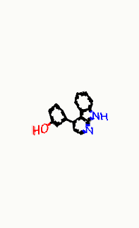 Oc1cccc(-c2ccnc3[nH]c4ccccc4c23)c1